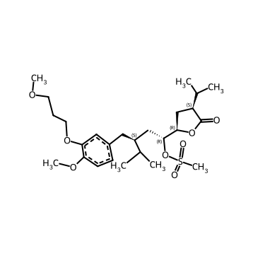 COCCCOc1cc(C[C@@H](C[C@@H](OS(C)(=O)=O)[C@H]2C[C@@H](C(C)C)C(=O)O2)C(C)C)ccc1OC